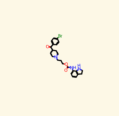 O=C(Nc1cccc2c1NCC2)OCCCN1CCC(C(=O)c2ccc(Br)cc2)CC1